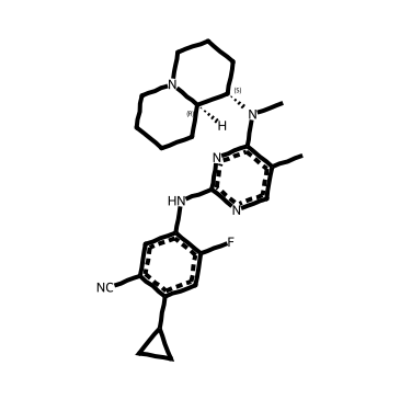 Cc1cnc(Nc2cc(C#N)c(C3CC3)cc2F)nc1N(C)[C@H]1CCCN2CCCC[C@H]12